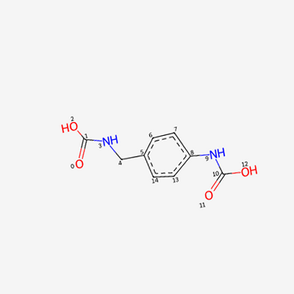 O=C(O)NCc1ccc(NC(=O)O)cc1